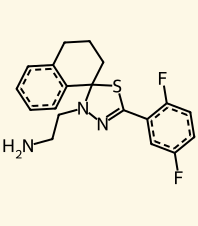 NCCN1N=C(c2cc(F)ccc2F)SC12CCCc1ccccc12